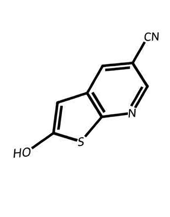 N#Cc1cnc2sc(O)cc2c1